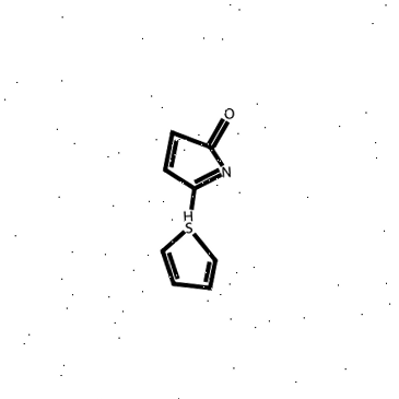 O=C1C=CC([SH]2C=CC=C2)=N1